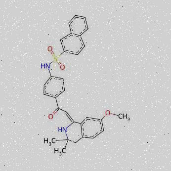 COc1ccc2c(c1)C(=CC(=O)c1ccc(NS(=O)(=O)c3ccc4ccccc4c3)cc1)NC(C)(C)C2